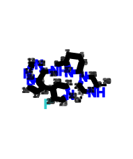 C[C@@H]1CN(c2cccc(CNc3ncnn4ccc(-c5ccncc5F)c34)n2)C[C@H](C)N1